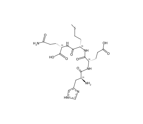 CSCC[C@H](NC(=O)[C@H](CCC(=O)O)NC(=O)[C@@H](N)Cc1c[nH]cn1)C(=O)N[C@@H](CCC(N)=O)C(=O)O